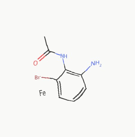 CC(=O)Nc1c(N)cccc1Br.[Fe]